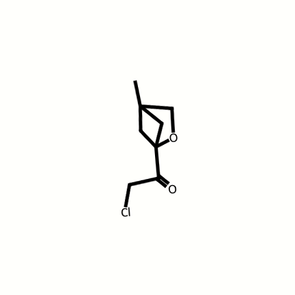 CC12COC(C(=O)CCl)(C1)C2